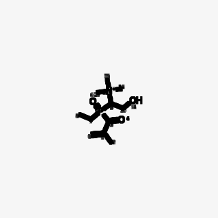 C=C(C)C(=O)P(=O)(CC)C(CO)[N+](C)(C)C